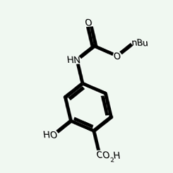 CCCCOC(=O)Nc1ccc(C(=O)O)c(O)c1